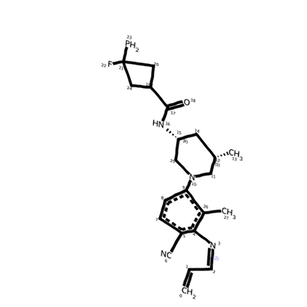 C=C/C=N\c1c(C#N)ccc(N2C[C@@H](C)C[C@@H](NC(=O)C3CC(F)(P)C3)C2)c1C